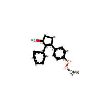 COOSc1ccc(C2=C(c3ccccc3)C(=O)CC2)cc1